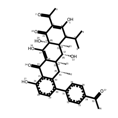 CC(=O)C1=C(O)C(C(C)C)[C@@]2(C)[C@H](O)[C@]3(C)C(=C(O)[C@@]2(O)C1=O)C(=O)c1c(O)ccc(-c2ccc(C(C)=O)cc2)c1[C@H]3C